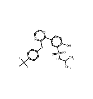 CC(C)NS(=O)(=O)c1cc(-c2nccnc2Sc2ccc(C(F)(F)F)cc2)ccc1O